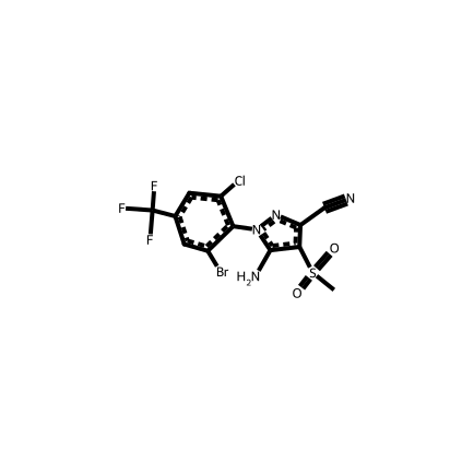 CS(=O)(=O)c1c(C#N)nn(-c2c(Cl)cc(C(F)(F)F)cc2Br)c1N